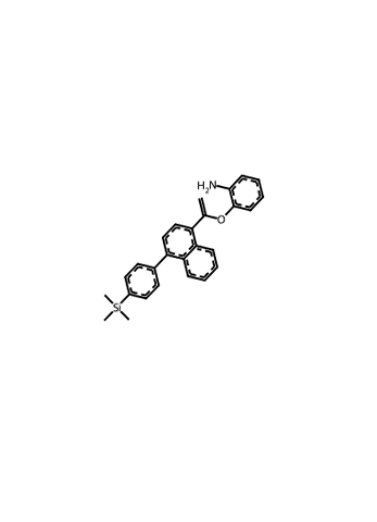 C=C(Oc1ccccc1N)c1ccc(-c2ccc([Si](C)(C)C)cc2)c2ccccc12